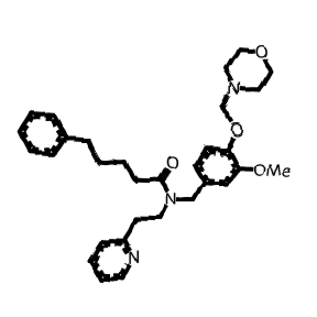 COc1cc(CN(CCc2ccccn2)C(=O)CCCCc2ccccc2)ccc1OCN1CCOCC1